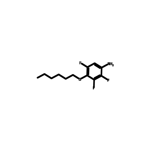 CCCCCCOc1c(F)cc(N)c(F)c1F